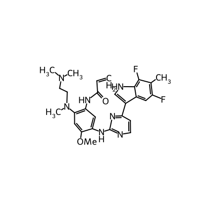 C=CC(=O)Nc1cc(Nc2nccc(-c3c[nH]c4c(F)c(C)c(F)cc34)n2)c(OC)cc1N(C)CCN(C)C